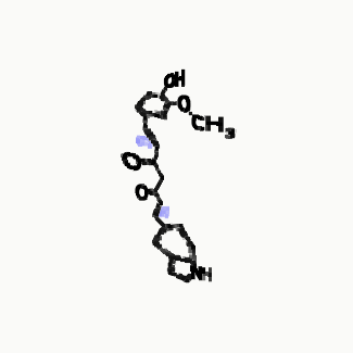 COc1cc(/C=C/C(=O)CC(=O)/C=C/c2ccc3[nH]ccc3c2)ccc1O